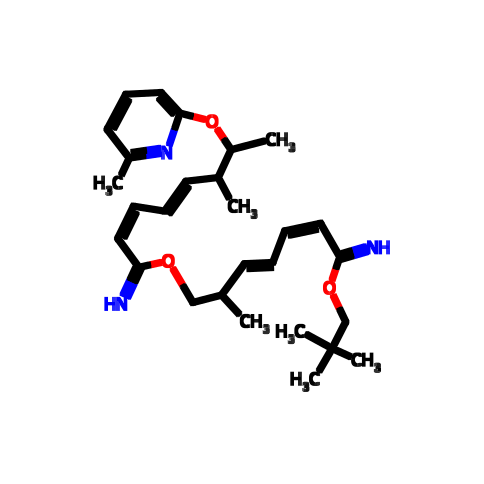 Cc1cccc(OC(C)C(C)/C=C/C=C\C(=N)OCC(C)/C=C/C=C\C(=N)OCC(C)(C)C)n1